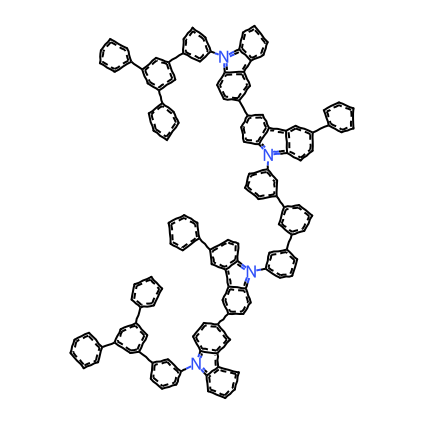 c1ccc(-c2cc(-c3ccccc3)cc(-c3cccc(-n4c5ccccc5c5cc(-c6ccc7c(c6)c6cc(-c8ccccc8)ccc6n7-c6cccc(-c7cccc(-c8cccc(-n9c%10ccc(-c%11ccccc%11)cc%10c%10cc(-c%11ccc%12c(c%11)c%11ccccc%11n%12-c%11cccc(-c%12cc(-c%13ccccc%13)cc(-c%13ccccc%13)c%12)c%11)ccc%109)c8)c7)c6)ccc54)c3)c2)cc1